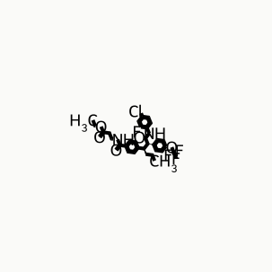 CCC[C@@H](c1ccc(C(=O)NCCC(=O)OCC)cc1)[C@H](C(=O)Nc1ccc(Cl)cc1F)c1ccc(OC(F)(F)F)cc1